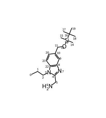 CCCn1c(CN)nc2cc(CO[Si](C)(C)C(C)(C)C)ccc21